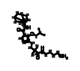 CC(C)COc1c(C(=O)NC2C3CC4CC(C3)CC2C4)cnn1CCC(C)(C)C(=O)NCCCCN